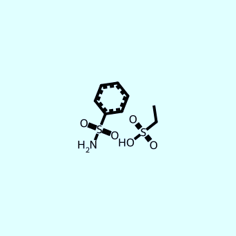 CCS(=O)(=O)O.NS(=O)(=O)c1ccccc1